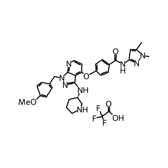 COc1ccc(Cn2nc(N[C@@H]3CCCNC3)c3c(Oc4ccc(C(=O)Nc5cc(C)n(C)n5)cc4)ccnc32)cc1.O=C(O)C(F)(F)F